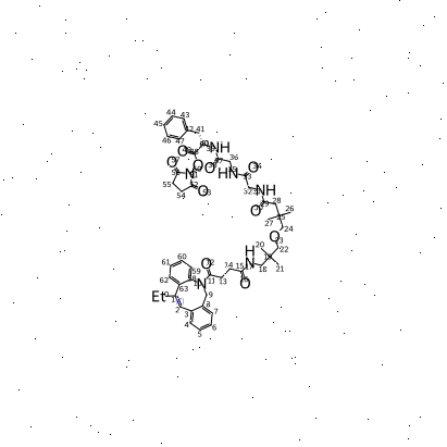 CC/C1=C/c2ccccc2CN(C(=O)CCC(=O)NCC(C)(C)COCC(C)(C)CC(=O)NCC(=O)NCC(=O)N[C@@H](Cc2ccccc2)C(=O)ON2C(=O)CCC2=O)c2ccccc21